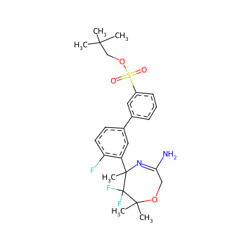 CC(C)(C)COS(=O)(=O)c1cccc(-c2ccc(F)c(C3(C)N=C(N)COC(C)(C)C3(F)F)c2)c1